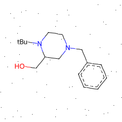 CC(C)(C)N1CCN(Cc2ccccc2)CC1CO